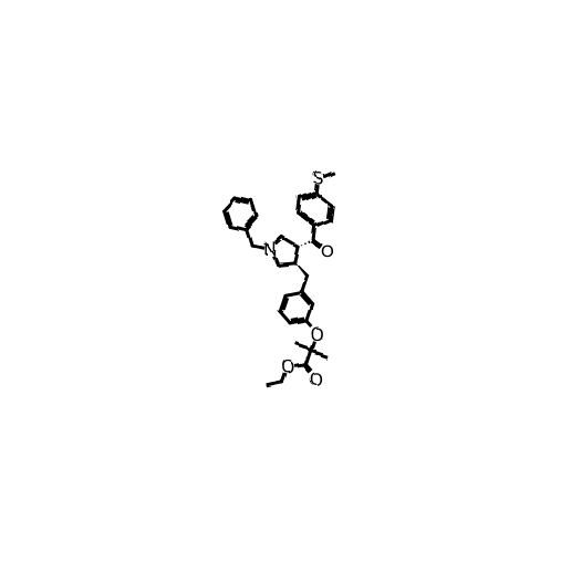 CCOC(=O)C(C)(C)Oc1cccc(C[C@H]2CN(Cc3ccccc3)C[C@@H]2C(=O)c2ccc(SC)cc2)c1